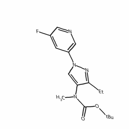 CCc1nn(-c2cncc(F)c2)cc1N(C)C(=O)OC(C)(C)C